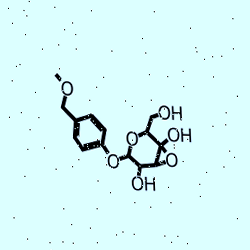 COCc1ccc(OC2OC(CO)C3(O)OC3C2O)cc1